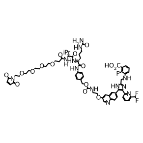 CC(C)[C@H](NC(=O)CCOCCOCCOCCOCCN1C(=O)C=CC1=O)C(=O)N[C@@H](CCCNC(N)=O)C(=O)Nc1ccc(COC(=O)NCCOc2cnc3ccc(-c4[nH]c(CNc5cccc(C(=O)O)c5F)nc4-c4cccc(C(F)F)n4)cc3c2)cc1